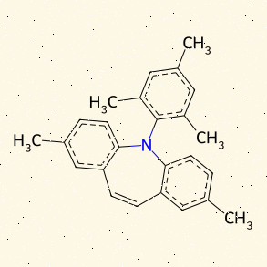 Cc1cc(C)c(N2c3ccc(C)cc3C=Cc3cc(C)ccc32)c(C)c1